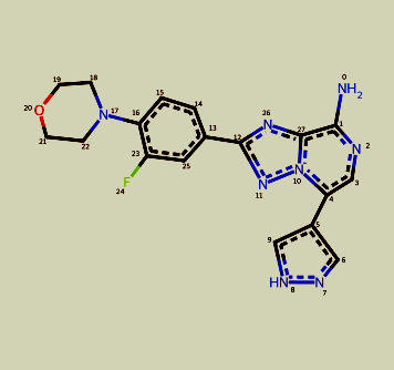 Nc1ncc(-c2cn[nH]c2)n2nc(-c3ccc(N4CCOCC4)c(F)c3)nc12